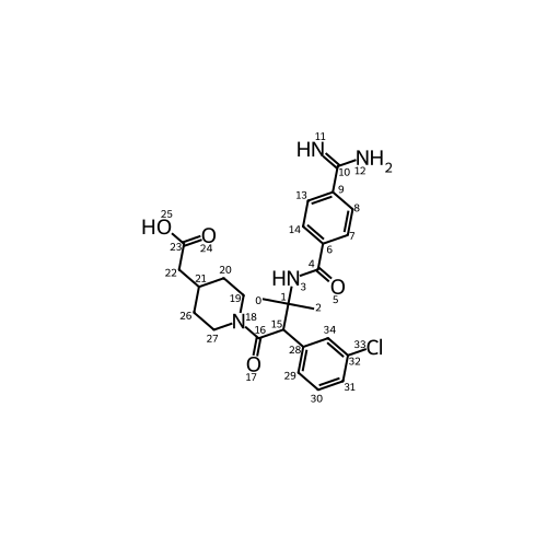 CC(C)(NC(=O)c1ccc(C(=N)N)cc1)C(C(=O)N1CCC(CC(=O)O)CC1)c1cccc(Cl)c1